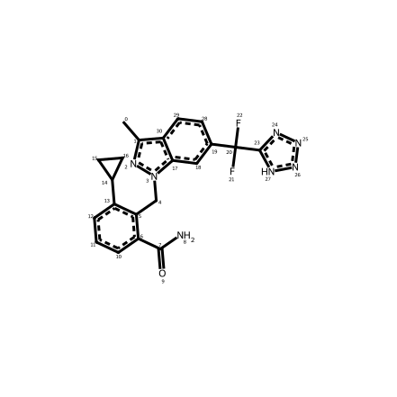 Cc1nn(Cc2c(C(N)=O)cccc2C2CC2)c2cc(C(F)(F)c3nnn[nH]3)ccc12